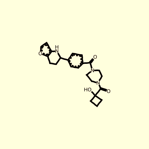 O=C(c1ccc(C2CCc3occc3N2)cc1)N1CCN(C(=O)C2(O)CCC2)CC1